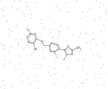 Cn1cc(C(F)(F)F)nc1-c1ccc(COc2nc(Cl)ncc2Br)cc1F